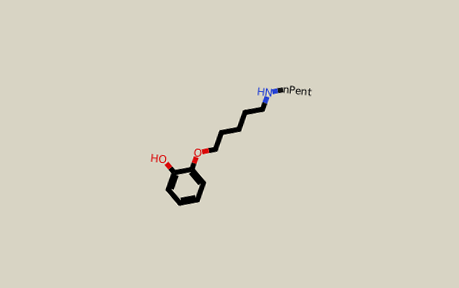 CCCCCNCCCCCOc1ccccc1O